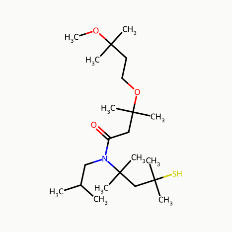 COC(C)(C)CCOC(C)(C)CC(=O)N(CC(C)C)C(C)(C)CC(C)(C)S